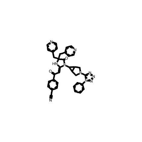 N#Cc1ccc(C(=O)C=C2NC(Cc3ccncc3)(Cc3ccncc3)C(=O)N2C2C3CN(c4nnnn4-c4ccccc4)CC32)cc1